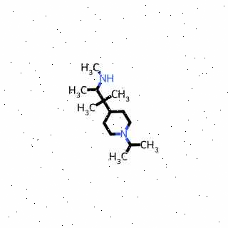 CNC(C)C(C)(C)C1CCN(C(C)C)CC1